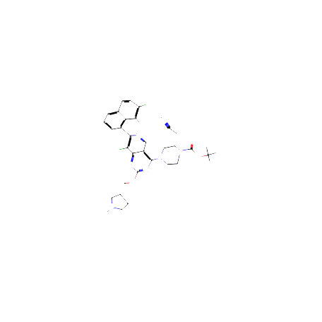 CN1CC[C@@H](COc2nc(N3CCN(C(=O)OC(C)(C)C)[C@@H](CC#N)C3)c3cnc(-c4cccc5ccc(F)c(Cl)c45)c(F)c3n2)C1